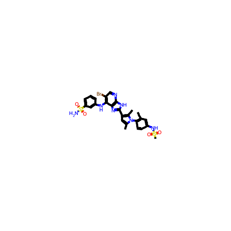 Cc1cc(NS(C)(=O)=O)ccc1-n1c(C)cc(-c2nc3c(Nc4cccc(S(N)(=O)=O)c4)c(Br)cnc3[nH]2)c1C